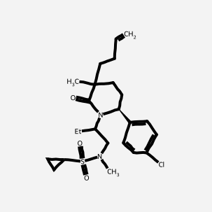 C=CCCC1(C)CC[C@@H](c2ccc(Cl)cc2)N(C(CC)CN(C)S(=O)(=O)C2CC2)C1=O